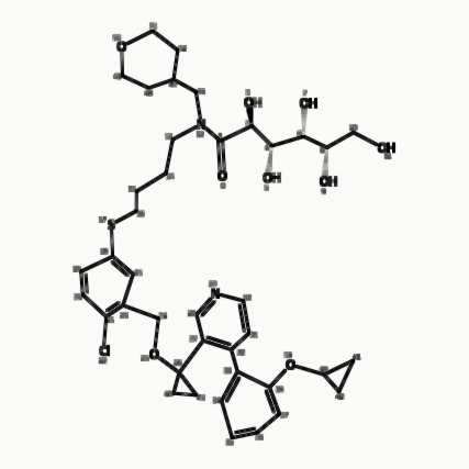 O=C([C@@H](O)[C@@H](O)[C@H](O)[C@@H](O)CO)N(CCCCSc1ccc(Cl)c(COC2(c3cnccc3-c3ccccc3OC3CC3)CC2)c1)CC1CCOCC1